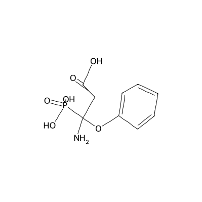 NC(CC(=O)O)(Oc1ccccc1)P(=O)(O)O